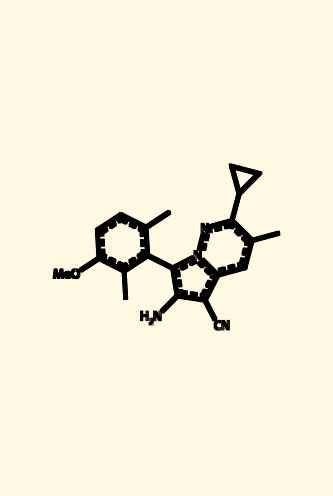 COc1ccc(C)c(-c2c(N)c(C#N)c3cc(C)c(C4CC4)nn23)c1C